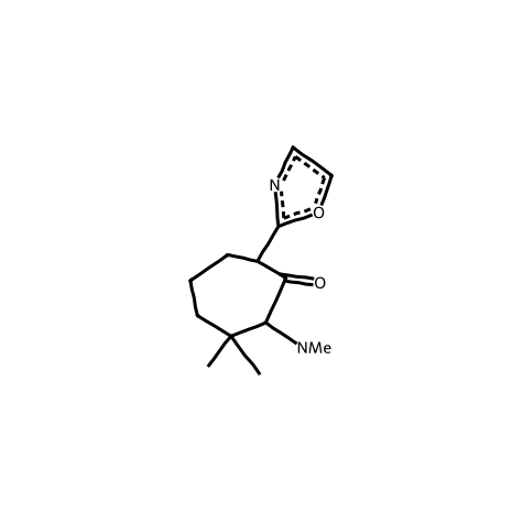 CNC1C(=O)C(c2ncco2)CCCC1(C)C